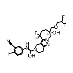 N#Cc1cc(NC(O)N2CCc3nn4c(c3C2)C(F)(F)CC[C@@](O)(COCC(F)F)C4)ccc1F